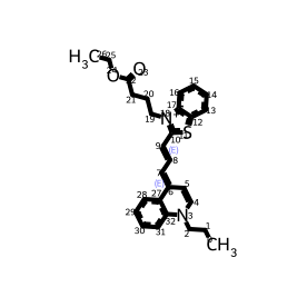 CCCN1C=C/C(=C\C=C\c2sc3ccccc3[n+]2CCCC(=O)OCC)c2ccccc21